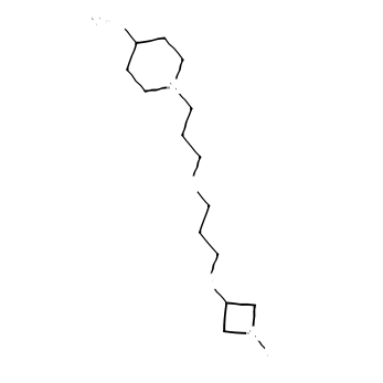 COC1CCN(CCCOCCCOC2CN(C)C2)CC1